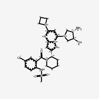 CS(=O)(=O)Nc1ccc(Cl)cc1C(=O)N1CCCC[C@H]1c1cc2nc(N3CCC3)cc(N3C[C@H](N)[C@@H](O)C3)n2n1